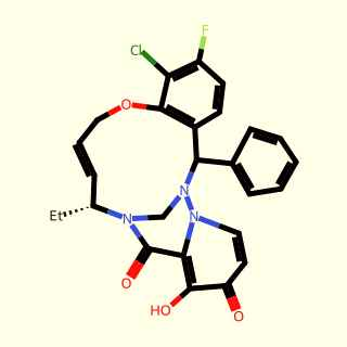 CC[C@@H]1/C=C/COc2c(ccc(F)c2Cl)C(c2ccccc2)N2CN1C(=O)c1c(O)c(=O)ccn12